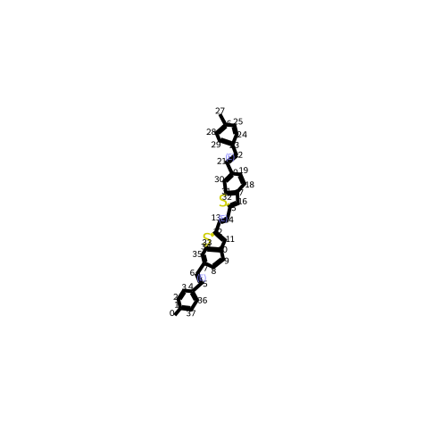 Cc1ccc(/C=C/c2ccc3cc(/C=C/c4cc5ccc(/C=C/c6ccc(C)cc6)cc5s4)sc3c2)cc1